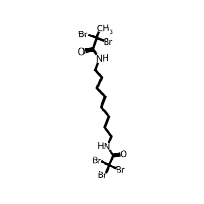 CC(Br)(Br)C(=O)NCCCCCCCCNC(=O)C(Br)(Br)Br